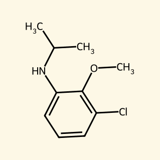 COc1c(Cl)cccc1NC(C)C